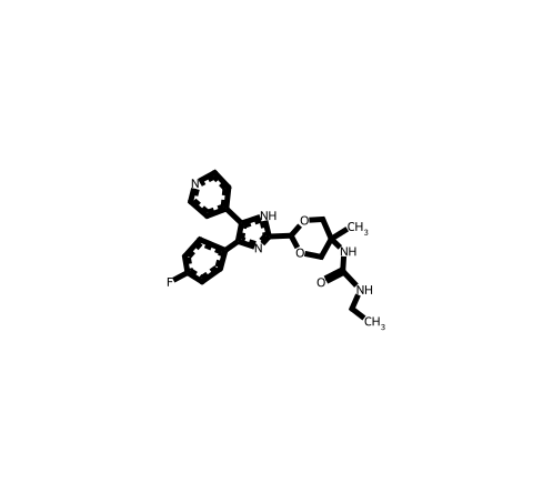 CCNC(=O)NC1(C)COC(c2nc(-c3ccc(F)cc3)c(-c3ccncc3)[nH]2)OC1